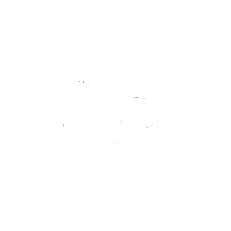 CC(=CC(=O)[O-])c1ccc(Cl)cc1.[Na+]